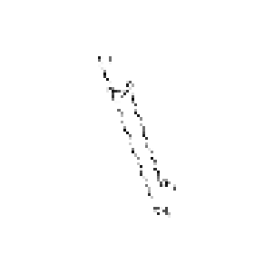 CCCCCCCCCCCCCCCCCC(=O)OO.CCCCCCCCCCCCCCCCCCCCCCCCCCCCO